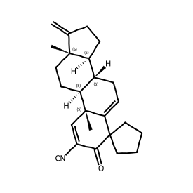 [C-]#[N+]C1=C[C@@]2(C)C(=CC[C@@H]3[C@@H]2CC[C@]2(C)C(=C)CC[C@@H]32)C2(CCCC2)C1=O